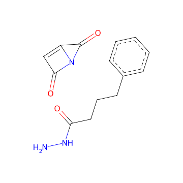 NNC(=O)CCCc1ccccc1.O=C1C=C2C(=O)N12